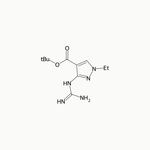 CCn1cc(C(=O)OC(C)(C)C)c(NC(=N)N)n1